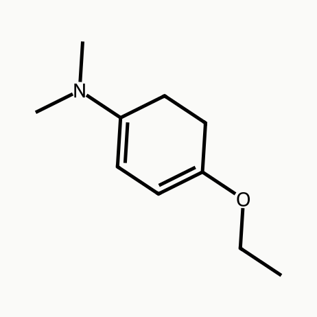 CCOC1=CC=C(N(C)C)CC1